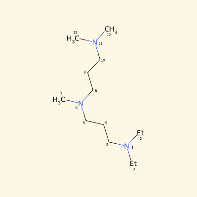 CCN(CC)CCCN(C)CCCN(C)C